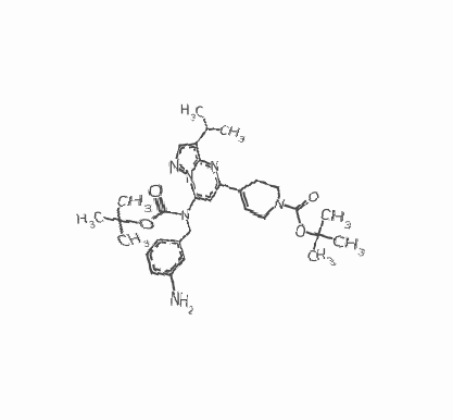 CC(C)c1cnn2c(N(Cc3cccc(N)c3)C(=O)OC(C)(C)C)cc(C3=CCN(C(=O)OC(C)(C)C)CC3)nc12